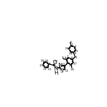 Cc1ccc(Cc2cc(C)c(-c3csc(NC(=O)c4ccccc4)n3)c(C)c2)cc1